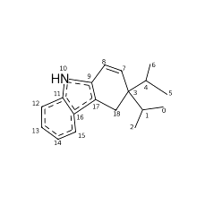 CC(C)C1(C(C)C)C=Cc2[nH]c3ccccc3c2C1